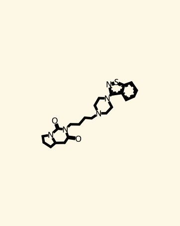 O=C1CC2CCCN2C(=O)N1CCCCN1CCN(c2nsc3ccccc23)CC1